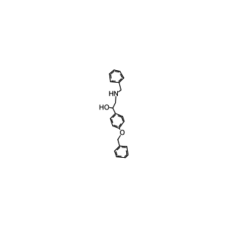 OC(CNCc1ccccc1)c1ccc(OCc2ccccc2)cc1